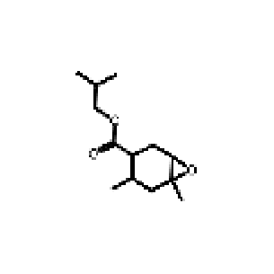 CC(C)COC(=O)C1CC2OC2(C)CC1C